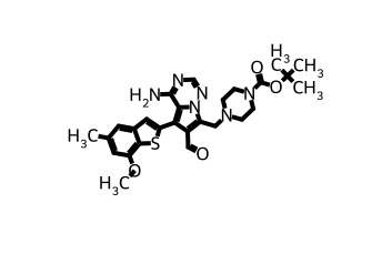 COc1cc(C)cc2cc(-c3c(C=O)c(CN4CCN(C(=O)OC(C)(C)C)CC4)n4ncnc(N)c34)sc12